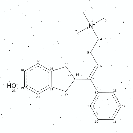 C[N+](C)(C)CC/C=C(/c1ccccc1)C1Cc2ccccc2C1.[OH-]